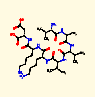 CC(C)[C@H](N)C(=O)N[C@@H](C)C(=O)N[C@H](C(=O)N[C@H](C(=O)N[C@@H](CCCCN)C(=O)N[C@@H](CCCCN)C(=O)N[C@@H](CC(=O)O)C(=O)O)C(C)C)C(C)C